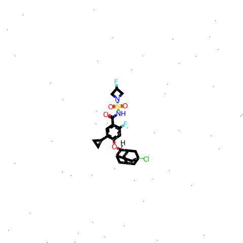 O=C(NS(=O)(=O)N1CC(F)C1)c1cc(C2CC2)c(O[C@H]2C3CC4CC2C[C@](Cl)(C4)C3)cc1F